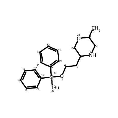 CC1CNC(CCO[Si](c2ccccc2)(c2ccccc2)C(C)(C)C)CO1